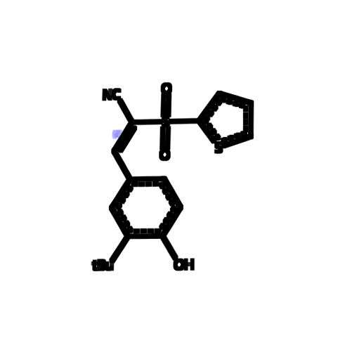 CC(C)(C)c1cc(/C=C(/C#N)S(=O)(=O)c2cccs2)ccc1O